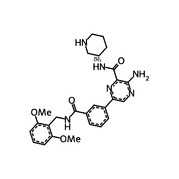 COc1cccc(OC)c1CNC(=O)c1cccc(-c2cnc(N)c(C(=O)N[C@H]3CCCNC3)n2)c1